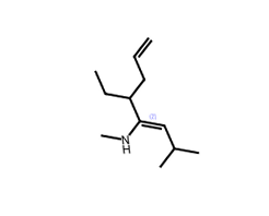 C=CCC(CC)/C(=C/C(C)C)NC